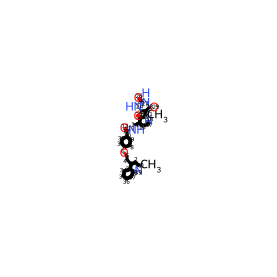 Cc1cc(CCOc2ccc(C(=O)NCc3ccnc(C4(C)C(=O)NC(=O)NC4=O)c3)cc2)c2ccccc2n1